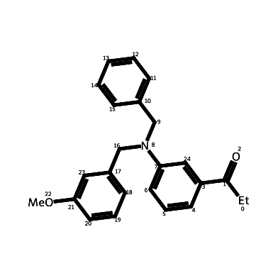 CCC(=O)c1cccc(N(Cc2ccccc2)Cc2cccc(OC)c2)c1